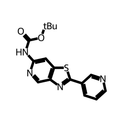 CC(C)(C)OC(=O)Nc1cc2sc(-c3cccnc3)nc2cn1